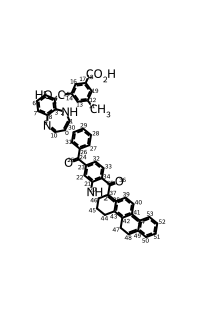 C1=CNc2ccccc2N=C1.Cc1cc(C(=O)O)cc(C(=O)O)c1.Nc1cc(C(=O)c2ccccc2)ccc1C(=O)C1=c2ccc3c(c2CCC1)CC=c1ccccc1=3